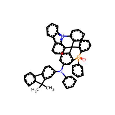 CC1(C)c2ccccc2-c2ccc(N(c3ccccc3)c3ccc4c(c3)P(=O)(c3ccccc3)c3ccccc3C43c4ccccc4-n4c5ccccc5c5cccc3c54)cc21